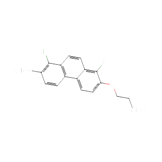 CCCCCCCCCCCCOc1ccc2c(ccc3c(F)c(CCCCCC)ccc32)c1F